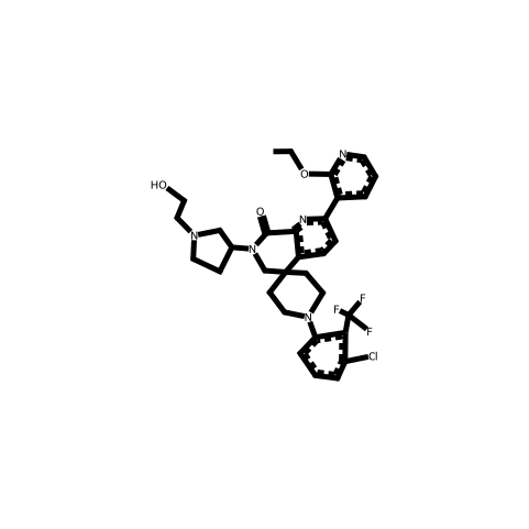 CCOc1ncccc1-c1ccc2c(n1)C(=O)N(C1CCN(CCO)C1)CC21CCN(c2cccc(Cl)c2C(F)(F)F)CC1